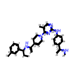 C=C(NC(CC)c1cccc(C)c1)C1=C=CN(c2nc(Nc3ccc(C(=C)NC)cc3)ncc2C)C=C1